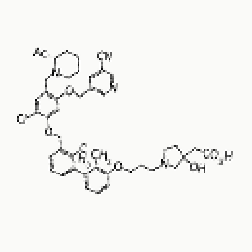 CC(=O)[C@@H]1CCCCN1Cc1cc(Cl)c(OCc2cccc(-c3cccc(OCCCN4CCC(O)(CC(=O)O)C4)c3C)c2C)cc1OCc1cncc(C#N)c1